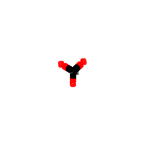 [O]=[Sc](=[O])=[O]